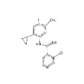 Cc1cc(NC(=N)c2ccncc2Cl)c(C2CC2)cc1I